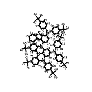 CC(C)(C)c1ccc(N(c2ccc(C(C)(C)C)cc2)c2cc3c4c(c2)N(c2ccc(N(c5ccc(C(C)(C)C)cc5)c5ccc(C(C)(C)C)cc5)c5sc6ccccc6c25)c2ccc(C(C)(C)C)cc2B4c2cc(C(C)(C)C)ccc2N3c2ccc(C(C)(C)C)cc2)cc1